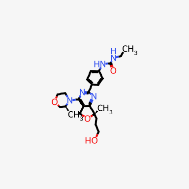 CCNC(=O)Nc1ccc(-c2nc(N3CCOC[C@@H]3C)c3c(n2)[C@](C)(CCCO)OC3)cc1